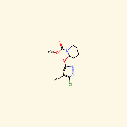 CC(C)c1cc(OC2CCCCN2C(=O)OC(C)(C)C)nnc1Cl